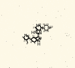 Cc1ccncc1-c1ccc2[nH]nc(-c3nc4c(N5CCN(C)CC5)cncc4[nH]3)c2c1